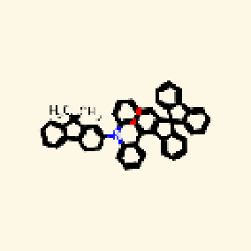 CC1(C)C2=C(CCC(N(c3ccccc3)c3ccccc3C3=C=C=CC4=C3c3ccccc3C43c4ccccc4-c4ccccc43)=C2)c2ccccc21